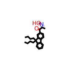 CCCCC1(CCCC)c2ccccc2-c2ccc(C(=O)/C(C)=N\O)cc21